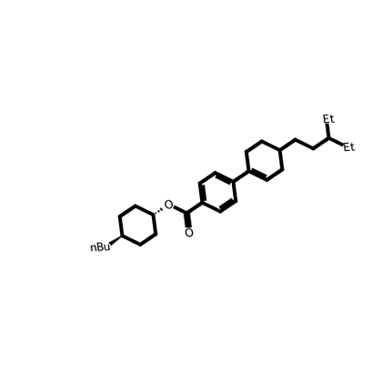 CCCC[C@H]1CC[C@H](OC(=O)c2ccc(C3=CCC(CCC(CC)CC)CC3)cc2)CC1